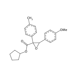 COc1ccc(C2OC2(C(=O)OC2CCCC2)c2ccc(C)cc2)cc1